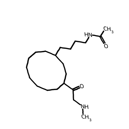 CNCC(=O)C1CCCCCCCCC(CCCCNC(C)=O)CC1